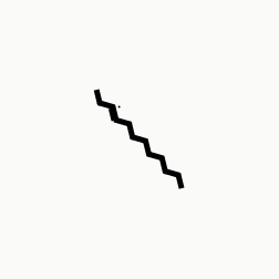 CC/[C]=C/CCCCCCCC